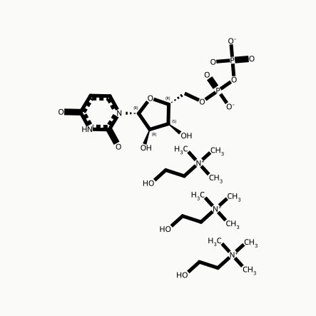 C[N+](C)(C)CCO.C[N+](C)(C)CCO.C[N+](C)(C)CCO.O=c1ccn([C@@H]2O[C@H](COP(=O)([O-])OP(=O)([O-])[O-])[C@@H](O)[C@H]2O)c(=O)[nH]1